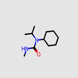 CNC(=O)N(C(C)C)C1CCCCC1